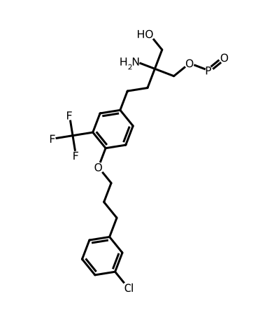 NC(CO)(CCc1ccc(OCCCc2cccc(Cl)c2)c(C(F)(F)F)c1)COP=O